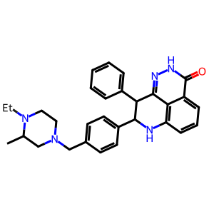 CCN1CCN(Cc2ccc(C3Nc4cccc5c(=O)[nH]nc(c45)C3c3ccccc3)cc2)CC1C